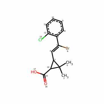 CC1(C)C(C=C(Br)c2ccccc2Cl)C1C(=O)O